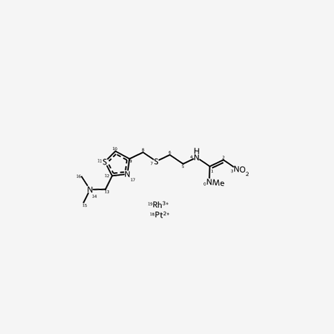 CN/C(=C\[N+](=O)[O-])NCCSCc1csc(CN(C)C)n1.[Pt+2].[Rh+3]